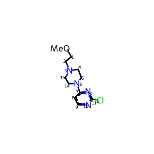 COCCN1CCN(c2ccnc(Cl)n2)CC1